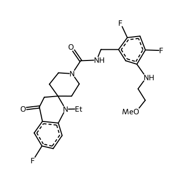 CCN1c2ccc(F)cc2C(=O)CC12CCN(C(=O)NCc1cc(NCCOC)c(F)cc1F)CC2